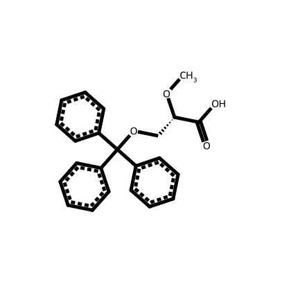 CO[C@@H](COC(c1ccccc1)(c1ccccc1)c1ccccc1)C(=O)O